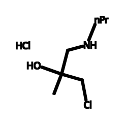 CCCNCC(C)(O)CCl.Cl